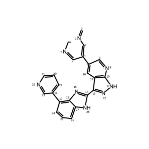 C=N/C=C(\C=N/C)c1cnc2[nH]nc(-c3nc4c(-c5cccnc5)cccc4[nH]3)c2c1